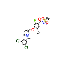 CCS(=O)(=O)NC(=O)c1cc(C2CC2)c(OC[C@@H]2CC[C@@H](C)N(C(C)c3cc(Cl)cc(Cl)c3)C2)cc1F